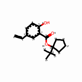 C=Cc1ccc(O)c(C(=O)OC2(C(C)(C)C)CCCC2)c1